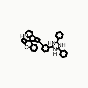 C1=CC2=C(NC1)C1(c3ccccc3Oc3ccccc31)c1cc(-c3cccc(C4NC(c5ccccc5)NC(c5ccccc5)N4)c3)ccc12